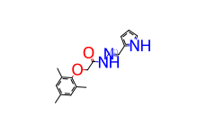 Cc1cc(C)c(OCC(=O)N/N=C/c2ccc[nH]2)c(C)c1